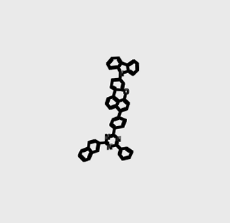 c1ccc(-c2nc(-c3ccc(-c4ccc5c6c(cccc46)-c4ccc(-n6c7ccccc7c7ccccc76)cc4O5)cc3)nc(-c3ccc4ccccc4c3)n2)cc1